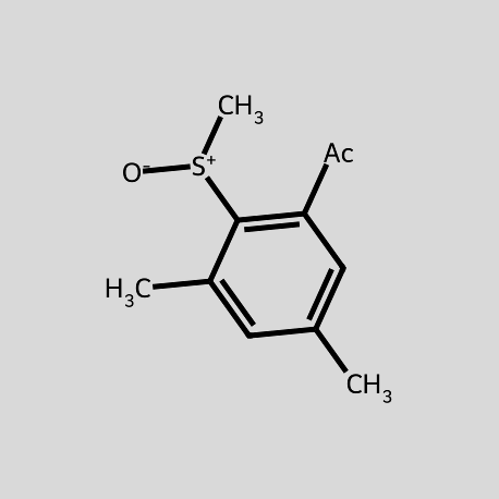 CC(=O)c1cc(C)cc(C)c1[S+](C)[O-]